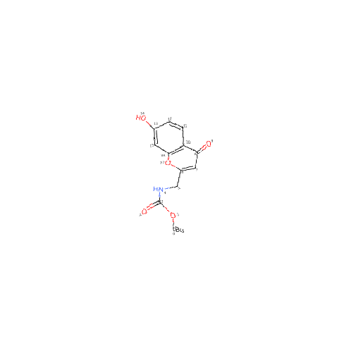 CC(C)(C)OC(=O)NCc1cc(=O)c2ccc(O)cc2o1